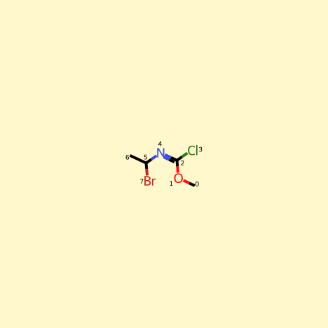 CO/C(Cl)=N\C(C)Br